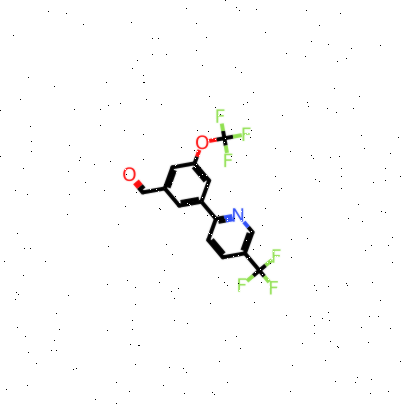 O=Cc1cc(OC(F)(F)F)cc(-c2ccc(C(F)(F)F)cn2)c1